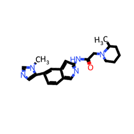 CC1CCCCN1CC(=O)Nc1cc2cc(-c3cncn3C)ccc2cn1